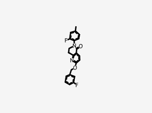 Cc1ccc(N2CCc3nc(OCc4cccc(F)c4)ccc3C2=O)c(F)c1